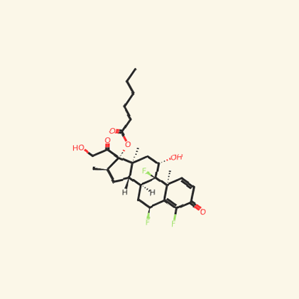 CCCCCC(=O)O[C@@]1(C(=O)CO)[C@H](C)C[C@H]2[C@@H]3C[C@H](F)C4=C(F)C(=O)C=C[C@]4(C)[C@@]3(F)[C@@H](O)C[C@@]21C